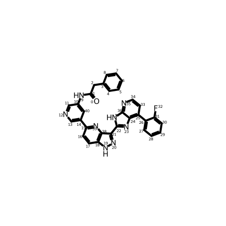 O=C(Cc1ccccc1)Nc1cncc(-c2ccc3[nH]nc(-c4nc5c(-c6ccccc6F)ccnc5[nH]4)c3n2)c1